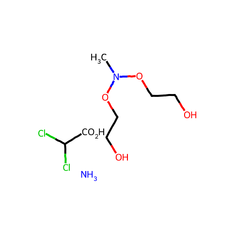 CN(OCCO)OCCO.N.O=C(O)C(Cl)Cl